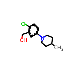 CC1CCN(c2ccc(Cl)c(CO)c2)CC1